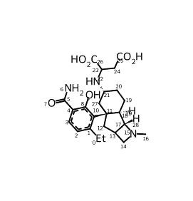 CCc1ccc(C(N)=O)c(O)c1[C@]12CC3CN(C)[C@H]3[C@@H]1CC[C@@H](NC(CC(=O)O)C(=O)O)C2